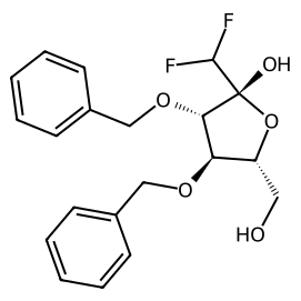 OC[C@H]1O[C@@](O)(C(F)F)[C@@H](OCc2ccccc2)[C@@H]1OCc1ccccc1